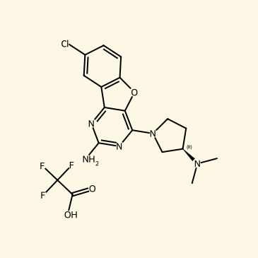 CN(C)[C@@H]1CCN(c2nc(N)nc3c2oc2ccc(Cl)cc23)C1.O=C(O)C(F)(F)F